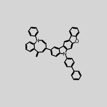 C=C1/C=C(c2ccc3c(c2)c2cc4c(cc2n3-c2ccc(-c3ccccc3)cc2)oc2ccccc24)\C=C/N(c2ccccc2)c2ccccc21